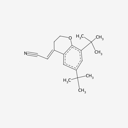 CC(C)(C)c1cc2c(c(C(C)(C)C)c1)OCC/C2=C\C#N